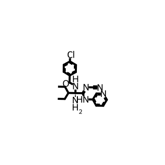 CCC(CC)[C@@](N)(NC(=O)c1ccc(Cl)cc1)C(=NC#N)Nc1cccnc1